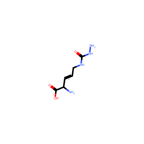 NNC(=O)NC/C=C/C(N)C(=O)O